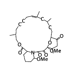 COC1CCCC2C(=O)OCC(C)CCCCC=C(C)CC(C)CCC3OC(OC)(C(=O)C(=O)N12)C(C)CC3=O